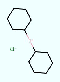 [B+](C1CCCCC1)C1CCCCC1.[Cl-]